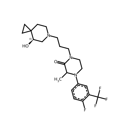 CC1C(=O)N(CCCN2CCC3(CC3)[C@H](O)C2)CCN1c1ccc(F)c(C(F)(F)F)c1